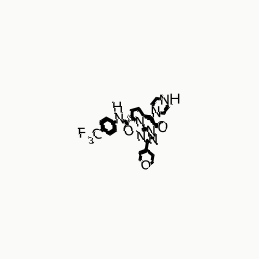 O=C(Nc1ccc(C(F)(F)F)cc1)[C@@H]1CCc2c(N3CCNCC3)c(=O)n3nc(C4=CCOCC4)nc3n21